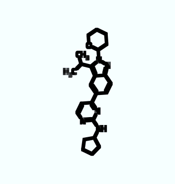 CC(C)c1c2cc(-c3ccnc(NC4CCCC4)n3)ccc2nn1C1CCCCO1